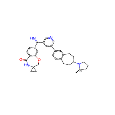 C[C@@H]1CCCN1C1CCc2ccc(-c3cncc(C(=N)c4ccc5c(c4)OCC4(CC4)NC5=O)c3)cc2CC1